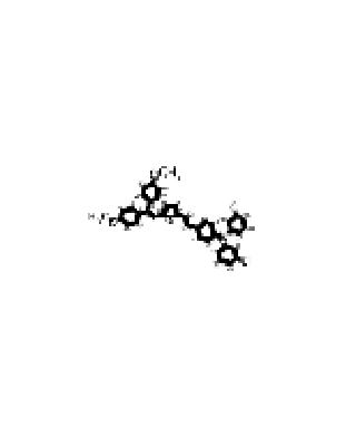 COc1ccc(C(=Cc2ccc(C=Cc3ccc(N(c4cccc(Cl)c4)c4cccc(Cl)c4)cc3)s2)c2ccc(OC)cc2)cc1